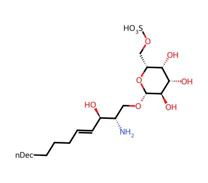 CCCCCCCCCCCCC/C=C/[C@@H](O)[C@@H](N)CO[C@@H]1O[C@H](COS(=O)(=O)O)[C@H](O)[C@H](O)[C@H]1O